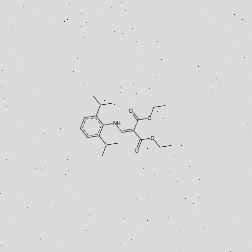 CCOC(=O)C(=CNc1c(C(C)C)cccc1C(C)C)C(=O)OCC